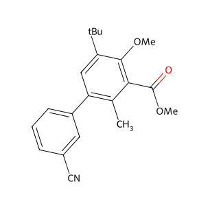 COC(=O)c1c(C)c(-c2cccc(C#N)c2)cc(C(C)(C)C)c1OC